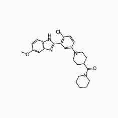 COc1ccc2[nH]c(-c3cc(N4CCC(C(=O)N5CCCCC5)CC4)ccc3Cl)nc2c1